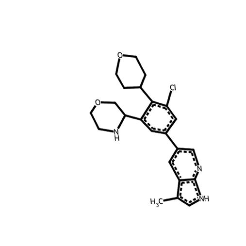 Cc1c[nH]c2ncc(-c3cc(Cl)c(C4CCOCC4)c(C4COCCN4)c3)cc12